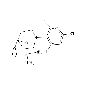 CC(C)(C)[Si](C)(C)OC12CCN(c3c(F)cc(Cl)cc3F)CC1O2